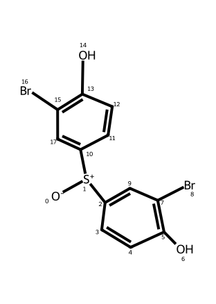 [O-][S+](c1ccc(O)c(Br)c1)c1ccc(O)c(Br)c1